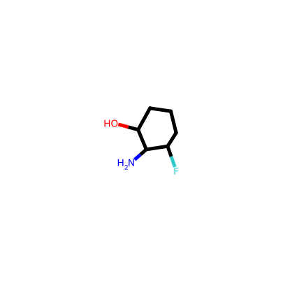 NC1C(O)CCCC1F